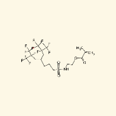 C=C(C)C(=O)OCCNS(=O)(=O)CCCC(CC(F)(C(F)(F)F)C(F)(F)F)CC(F)(C(F)(F)F)C(F)(F)F